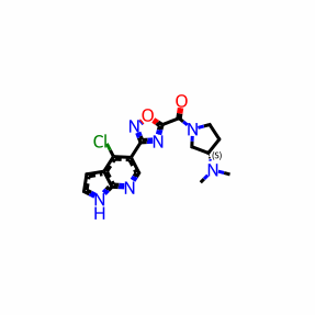 CN(C)[C@H]1CCN(C(=O)c2nc(-c3cnc4[nH]ccc4c3Cl)no2)C1